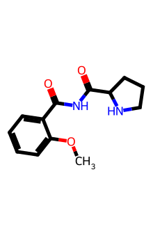 COc1ccccc1C(=O)NC(=O)C1CCCN1